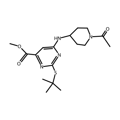 COC(=O)c1cc(NC2CCN(C(C)=O)CC2)nc(SC(C)(C)C)n1